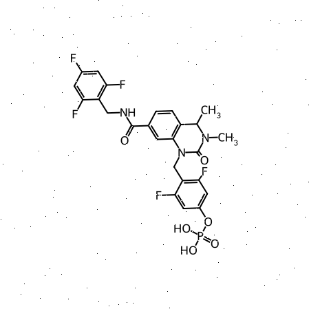 CC1c2ccc(C(=O)NCc3c(F)cc(F)cc3F)cc2N(Cc2c(F)cc(OP(=O)(O)O)cc2F)C(=O)N1C